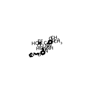 COc1cc2nc(Nc3nc(O)c4cc(OCCCN5CCCC5)ccc4n3)nc(C)c2cc1OC.O=C(O)C(F)(F)F